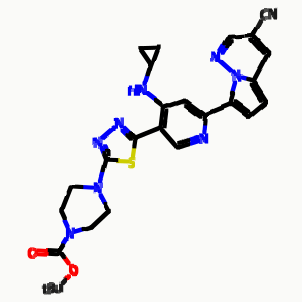 CC(C)(C)OC(=O)N1CCN(c2nnc(-c3cnc(-c4ccc5cc(C#N)cnn45)cc3NC3CC3)s2)CC1